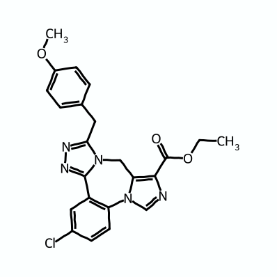 CCOC(=O)c1ncn2c1Cn1c(Cc3ccc(OC)cc3)nnc1-c1cc(Cl)ccc1-2